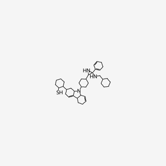 SC1CCCCC1C1CC=C2C3CCC=CC3N(C3CCC(C4N[C@]4(NCC4CCCCC4)C4=CCCC=C4)CC3)C2C1